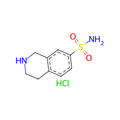 Cl.NS(=O)(=O)c1ccc2c(c1)CNCC2